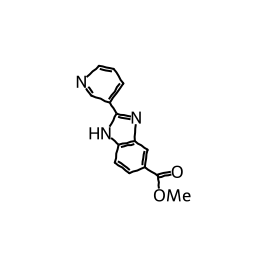 COC(=O)c1ccc2[nH]c(-c3cccnc3)nc2c1